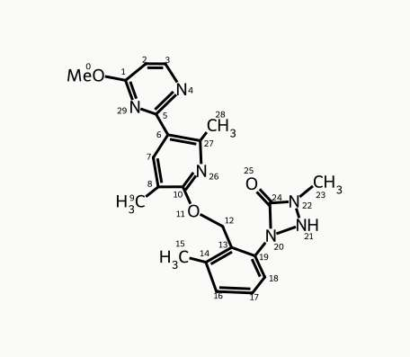 COc1ccnc(-c2cc(C)c(OCc3c(C)cccc3-n3[nH]n(C)c3=O)nc2C)n1